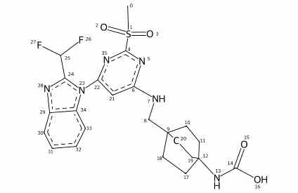 CS(=O)(=O)c1nc(NCC23CCC(NC(=O)O)(CC2)CC3)cc(-n2c(C(F)F)nc3ccccc32)n1